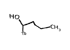 CCC[CH](O)[Tb]